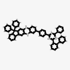 c1ccc(-c2nc(-c3ccc(-c4ccc5c(c4)Oc4cc6c(cc4O5)C(c4ccccc4)(c4ccccc4)c4ccccc4-6)cc3)nc(-c3ccccc3-c3ccccc3)n2)cc1